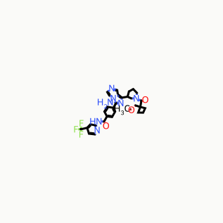 COCC1(C(=O)N2CCCC(C3=C4C=NC=C[N+]4(N)C(c4ccc(C(=O)Nc5cc(C(F)(F)F)ccn5)cc4)=N3)C2)CCC1